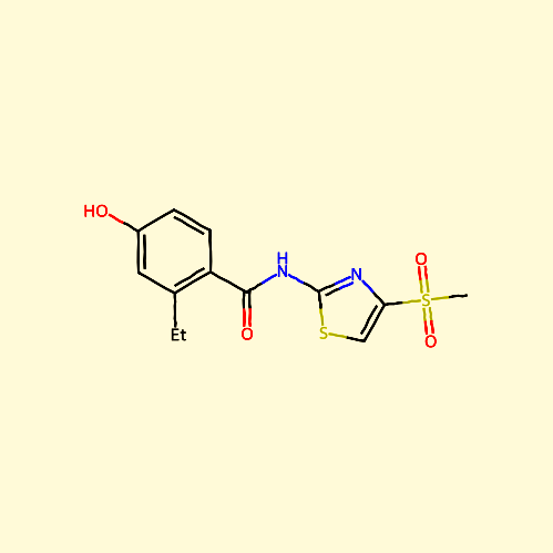 CCc1cc(O)ccc1C(=O)Nc1nc(S(C)(=O)=O)cs1